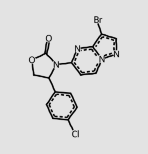 O=C1OCC(c2ccc(Cl)cc2)N1c1ccn2ncc(Br)c2n1